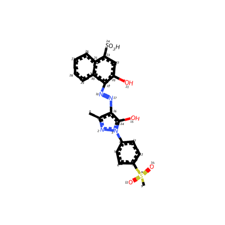 Cc1nn(-c2ccc(S(C)(=O)=O)cc2)c(O)c1N=Nc1c(O)cc(S(=O)(=O)O)c2ccccc12